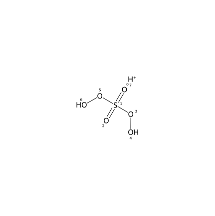 O=S(=O)(OO)OO.[H+]